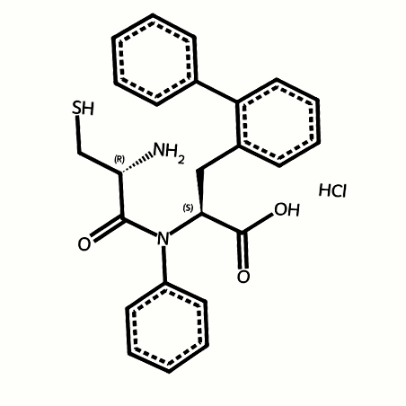 Cl.N[C@@H](CS)C(=O)N(c1ccccc1)[C@@H](Cc1ccccc1-c1ccccc1)C(=O)O